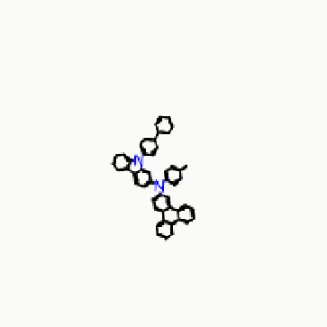 Cc1ccc(N(c2ccc3c4ccccc4c4ccccc4c3c2)c2ccc3c4ccccc4n(-c4ccc(-c5ccccc5)cc4)c3c2)cc1